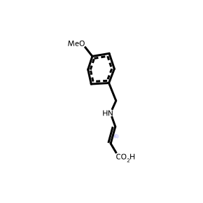 COc1ccc(CN/C=C/C(=O)O)cc1